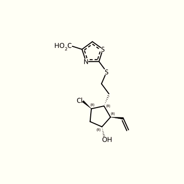 C=C[C@@H]1[C@@H](CCSc2nc(C(=O)O)cs2)[C@H](Cl)C[C@H]1O